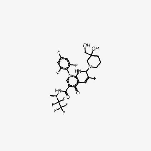 CC(NC(=O)c1cn(-c2c(F)cc(F)cc2F)c2c(c1=O)C=C(F)C(N1CCCC(O)(CO)C1)N2)C(F)(F)C(F)(F)F